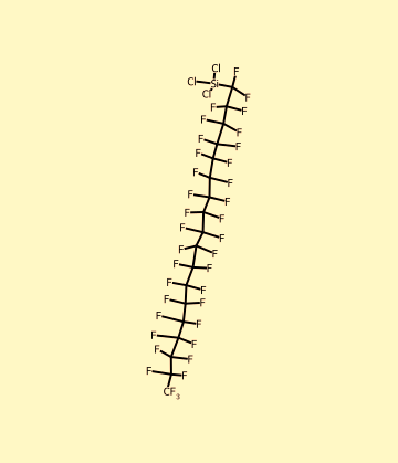 FC(F)(F)C(F)(F)C(F)(F)C(F)(F)C(F)(F)C(F)(F)C(F)(F)C(F)(F)C(F)(F)C(F)(F)C(F)(F)C(F)(F)C(F)(F)C(F)(F)C(F)(F)C(F)(F)C(F)(F)C(F)(F)[Si](Cl)(Cl)Cl